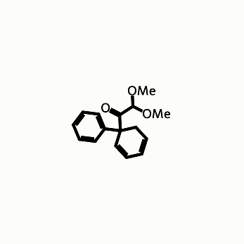 COC(OC)C(=O)C1(c2ccccc2)C=CC=CC1